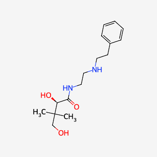 CC(C)(CO)[C@@H](O)C(=O)NCCNCCc1ccccc1